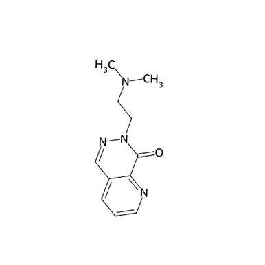 CN(C)CCn1ncc2cccnc2c1=O